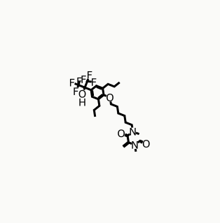 C=C(C(=O)N(C)CCCCCCOc1c(CCC)cc(C(O)(C(F)(F)F)C(F)(F)F)cc1CCC)N(C)C=O